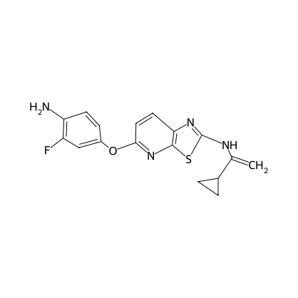 C=C(Nc1nc2ccc(Oc3ccc(N)c(F)c3)nc2s1)C1CC1